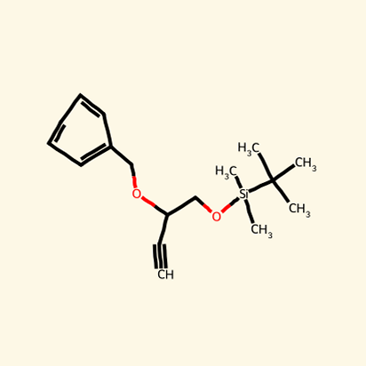 C#CC(CO[Si](C)(C)C(C)(C)C)OCc1ccccc1